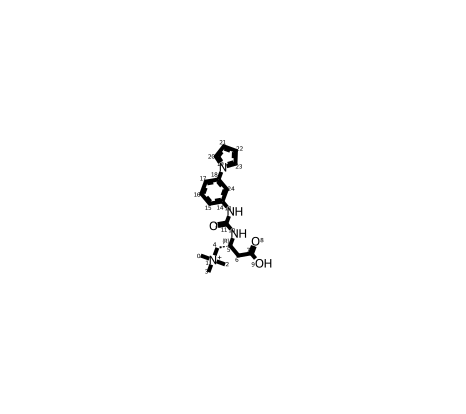 C[N+](C)(C)C[C@@H](CC(=O)O)NC(=O)Nc1cccc(-n2cccc2)c1